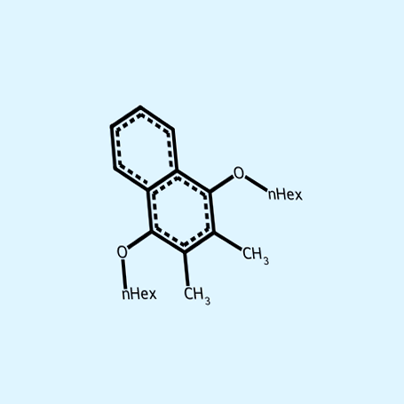 CCCCCCOc1c(C)c(C)c(OCCCCCC)c2ccccc12